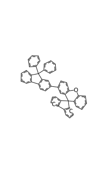 c1ccc(C2(c3ccccc3)c3ccccc3-c3ccc(-c4ccc5c(c4)C4(c6ccccc6O5)c5ccccc5-c5ccccc54)cc32)cc1